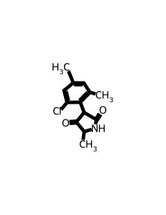 Cc1cc(C)c(C2C(=O)NC(C)C2=O)c(Cl)c1